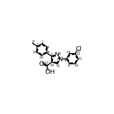 Cc1ccc(-c2nn(-c3cccc(Cl)c3)cc2C(=O)O)cc1